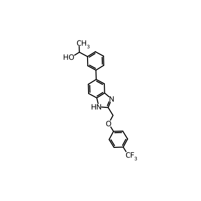 CC(O)c1cccc(-c2ccc3[nH]c(COc4ccc(C(F)(F)F)cc4)nc3c2)c1